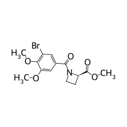 COC(=O)[C@H]1CCN1C(=O)c1cc(Br)c(OC)c(OC)c1